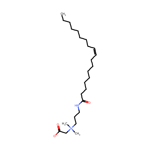 CCCCCCCC/C=C\CCCCCCCC(=O)NCCC[N+](C)(C)CC(=O)[O-]